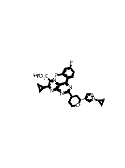 O=C(O)c1nc2c(-c3ccc(F)cc3F)nc(C3CCO[C@@H](c4cnn(C5CC5)c4)C3)nc2nc1C1CC1